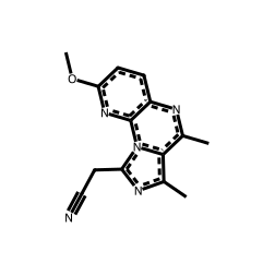 COc1ccc2nc(C)c3c(C)nc(CC#N)n3c2n1